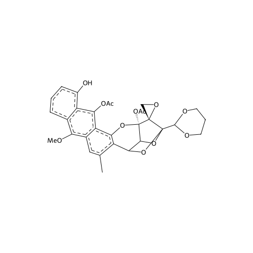 COc1c2cccc(O)c2c(OC(C)=O)c2c3c(c(C)cc12)C1OC2(C4OCCCO4)OC1[C@@](OC(C)=O)(O3)[C@@]21CO1